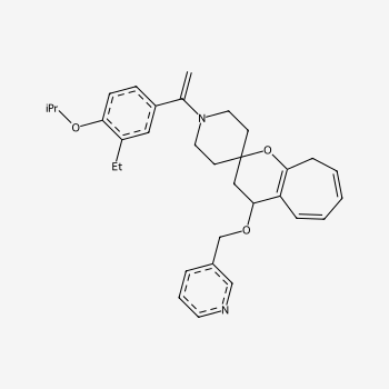 C=C(c1ccc(OC(C)C)c(CC)c1)N1CCC2(CC1)CC(OCc1cccnc1)C1=C(CC=CC=C1)O2